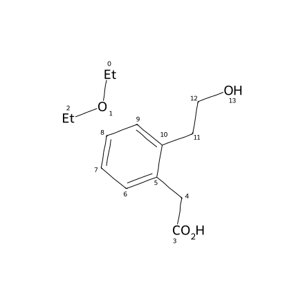 CCOCC.O=C(O)Cc1ccccc1CCO